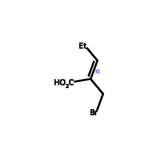 CC/C=C(/CBr)C(=O)O